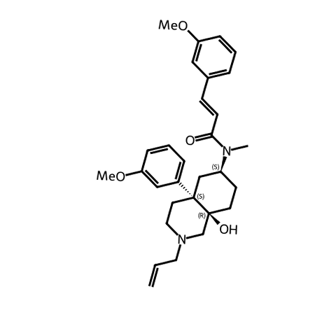 C=CCN1CC[C@@]2(c3cccc(OC)c3)C[C@@H](N(C)C(=O)C=Cc3cccc(OC)c3)CC[C@]2(O)C1